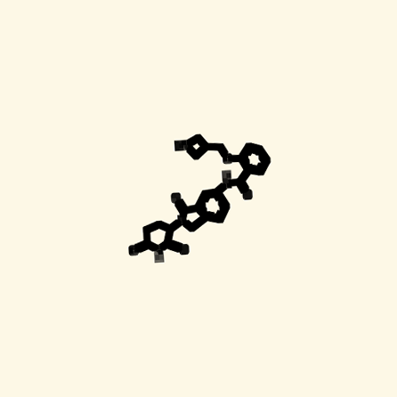 O=C1CCC(N2Cc3ccc(NC(=O)c4ccccc4OCC4CNC4)cc3C2=O)C(=O)N1